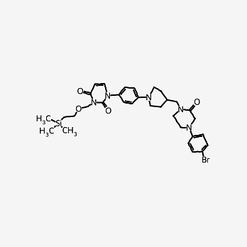 C[Si](C)(C)CCOCn1c(=O)ccn(-c2ccc(N3CCC(CN4CCN(c5ccc(Br)cc5)CC4=O)CC3)cc2)c1=O